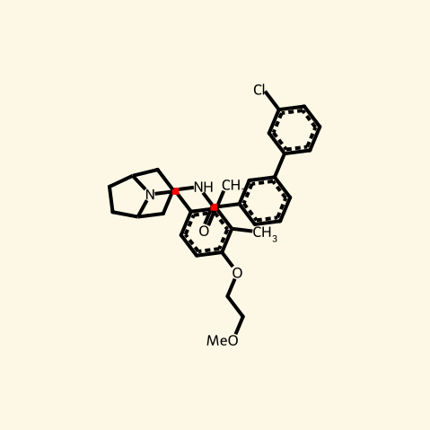 COCCOc1ccc(CN2C3CCC2CC(NC(=O)c2cccc(-c4cccc(Cl)c4)c2)C3)c(C)c1C